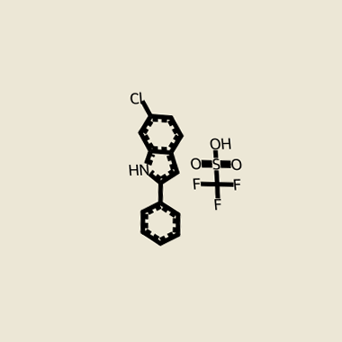 Clc1ccc2cc(-c3ccccc3)[nH]c2c1.O=S(=O)(O)C(F)(F)F